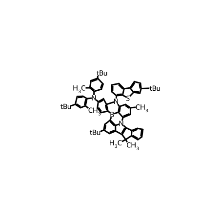 Cc1cc2c3c(c1)-n1c4c(c5cc(C(C)(C)C)cc(c51)B3c1ccc(N(c3ccc(C(C)(C)C)cc3C)c3ccc(C(C)(C)C)cc3C)cc1N2c1cccc2c1sc1cc(C(C)(C)C)ccc12)C(C)(C)c1ccccc1-4